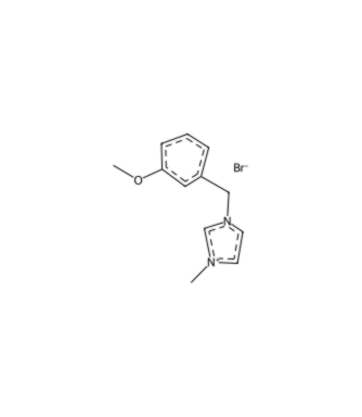 COc1cccc(Cn2cc[n+](C)c2)c1.[Br-]